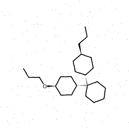 CCCO[C@H]1CC[C@H](C2([C@H]3CC[C@H](CCC)CC3)CC[CH]CC2)CC1